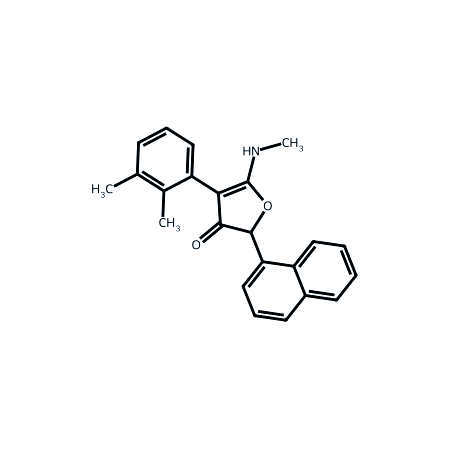 CNC1=C(c2cccc(C)c2C)C(=O)C(c2cccc3ccccc23)O1